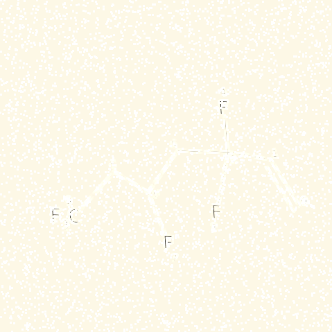 C=CC(F)(F)CC(F)CC(F)(F)F